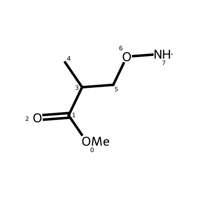 COC(=O)C(C)CO[NH]